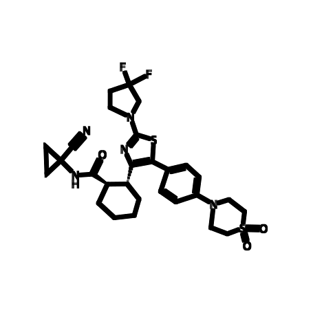 N#CC1(NC(=O)[C@@H]2CCCC[C@H]2c2nc(N3CCC(F)(F)C3)sc2-c2ccc(N3CCS(=O)(=O)CC3)cc2)CC1